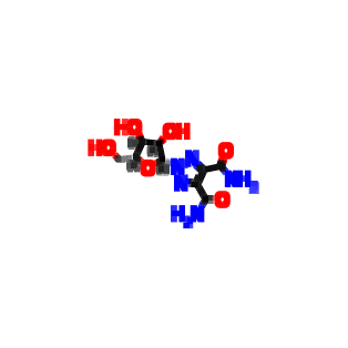 NC(=O)c1nn([C@@H]2O[C@H](CO)[C@@H](O)[C@H]2O)nc1C(N)=O